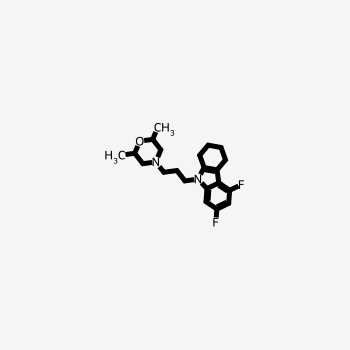 CC1CN(CCCn2c3c(c4c(F)cc(F)cc42)CCCC3)CC(C)O1